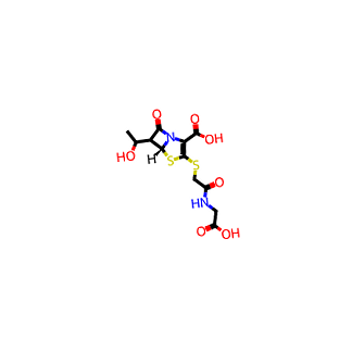 CC(O)C1C(=O)N2C(C(=O)O)=C(SCC(=O)NCC(=O)O)S[C@H]12